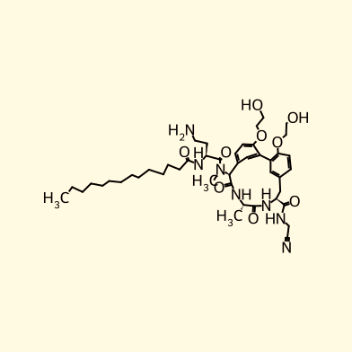 CCCCCCCCCCCCCC(=O)N[C@@H](CCN)C(=O)N(C)[C@@H]1C(=O)N[C@@H](C)C(=O)N[C@H](C(=O)NCC#N)Cc2ccc(OCCO)c(c2)-c2cc1ccc2OCCO